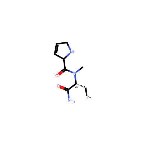 CC(C)C[C@H](C(N)=O)N(C)C(=O)C1C=CCN1